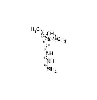 CCO[Si](C)(CCCNCNCN)OCC